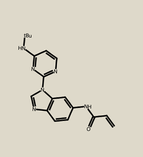 C=CC(=O)Nc1ccc2ncn(-c3nccc(NC(C)(C)C)n3)c2c1